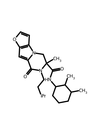 CC(C)CCN1C(=O)c2cc3occc3n2CC1(C)C(=O)NC1CCCC(C)C1C